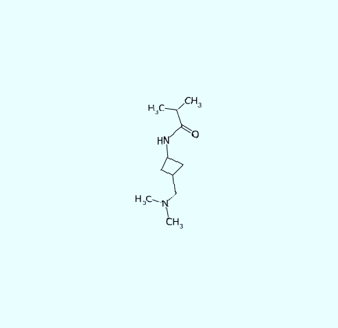 CC(C)C(=O)NC1CC(CN(C)C)C1